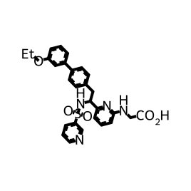 CCOc1cccc(-c2ccc(CC(NS(=O)(=O)c3cccnc3)c3cccc(NCC(=O)O)n3)cc2)c1